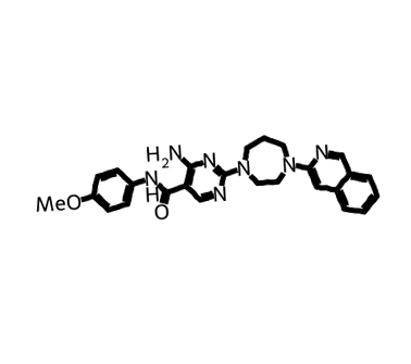 COc1ccc(NC(=O)c2cnc(N3CCCN(c4cc5ccccc5cn4)CC3)nc2N)cc1